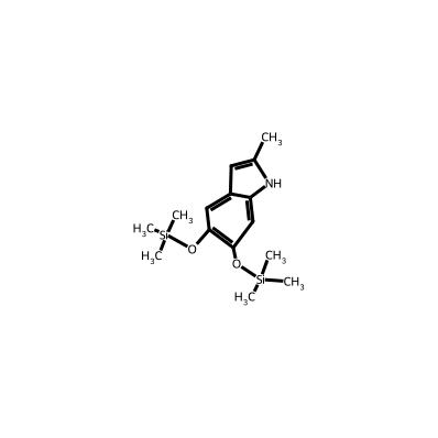 Cc1cc2cc(O[Si](C)(C)C)c(O[Si](C)(C)C)cc2[nH]1